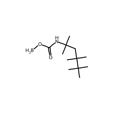 BOC(=O)NC(C)(C)CC(C)(C)C(C)(C)C